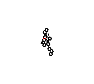 CC1(C)c2ccccc2-c2c(N(c3ccc(-c4ccc5c(ccc6ccccc65)c4)cc3)c3ccccc3-c3cccc4c3oc3c5ccccc5ccc43)cccc21